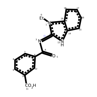 CCn1/c(=N/C(=O)c2cccc(C(=O)O)c2)[nH]c2ccccc21